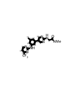 CNC(=O)CNc1ncc(-c2cc(C)cc(Nc3nccc(C(F)(F)F)n3)c2)cn1